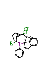 BrC12C=CC=C3[C](=CC=C31)[Zr+2][C]1(C=Cc3ccccc31)P2c1ccccc1.[Cl-].[Cl-]